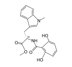 COC(=O)[C@H](Cc1cn(C)c2ccccc12)NC(=O)c1c(O)cccc1O